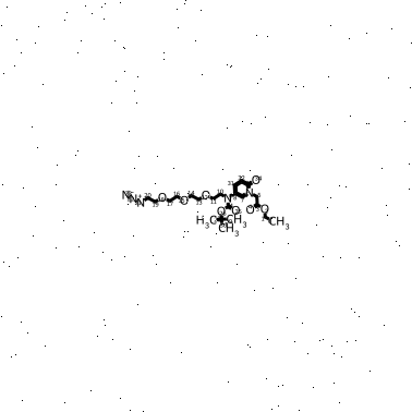 CCOC(=O)Cn1cc(N(CCOCCOCCOCCN=[N+]=[N-])C(=O)OC(C)(C)C)ccc1=O